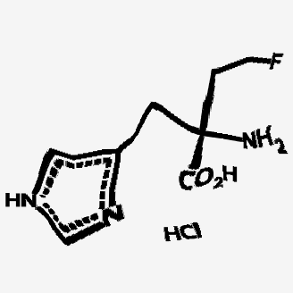 Cl.N[C@@](CF)(Cc1c[nH]cn1)C(=O)O